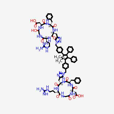 C[Si]1(C)C(c2ccc(Cn3cc(C[C@@H]4NC(=O)[C@@H](Cc5ccccc5)NC(=O)[C@H](CC(=O)O)NC(=O)CNC(=O)[C@H](CCCNC(=N)N)NC4=O)nn3)cc2)=C(c2ccccc2)C(c2ccccc2)=C1c1ccc(Cn2cc(C[C@@H]3NC(=O)[C@@H](Cc4ccccc4)NC(=O)[C@H](CC(=O)O)NC(O)CNC(=O)[C@H](CCCNC(=N)N)NC3=O)nn2)cc1